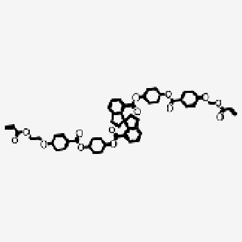 C=CC(=O)OCCOC1CCC(C(=O)OC2CCC(OC(=O)c3cccc4c3C3(CC4)CCc4cccc(C(=O)OC5CCC(OC(=O)C6CCC(OCOC(=O)C=C)CC6)CC5)c43)CC2)CC1